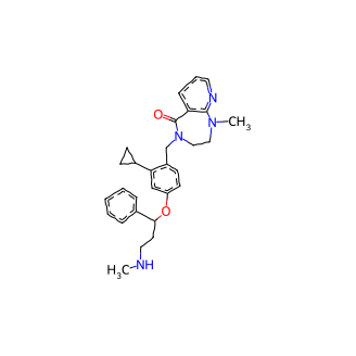 CNCCC(Oc1ccc(CN2CCN(C)c3ncccc3C2=O)c(C2CC2)c1)c1ccccc1